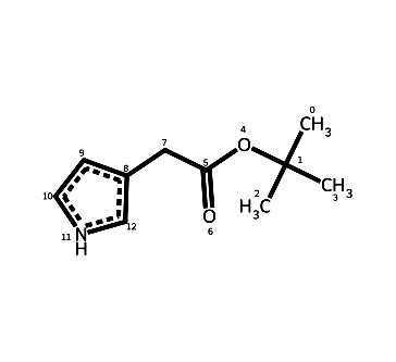 CC(C)(C)OC(=O)Cc1cc[nH]c1